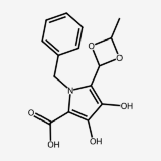 CC1OC(c2c(O)c(O)c(C(=O)O)n2Cc2ccccc2)O1